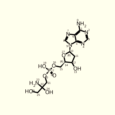 Nc1ncnc2c1ncn2[C@H]1CC(O)[C@@H](COP(=O)(O)OCC(N)(O)CO)O1